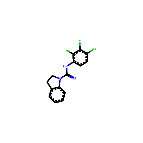 N=C(Nc1ccc(Cl)c(Cl)c1Cl)N1CCc2ccccc21